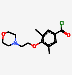 Cc1cc(C(=O)Cl)cc(C)c1OCCN1CCOCC1